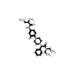 CCC(C)C(=O)Nc1ccc(N2CCN([C@H](C(=O)N(CC)CC)c3ccccc3)CC2)c(F)c1